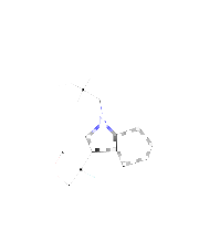 CC(C)(C)Cn1cc(C2(F)COC2)c2ccccc21